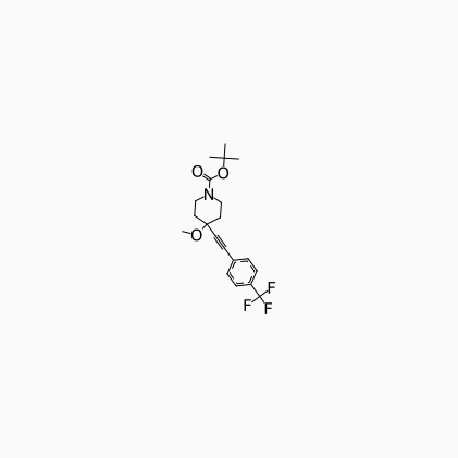 COC1(C#Cc2ccc(C(F)(F)F)cc2)CCN(C(=O)OC(C)(C)C)CC1